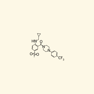 CS(=O)(=O)c1ccc(NCC2CC2)c(C(=O)N2CCN(c3ccc(C(F)(F)F)cc3)CC2)c1